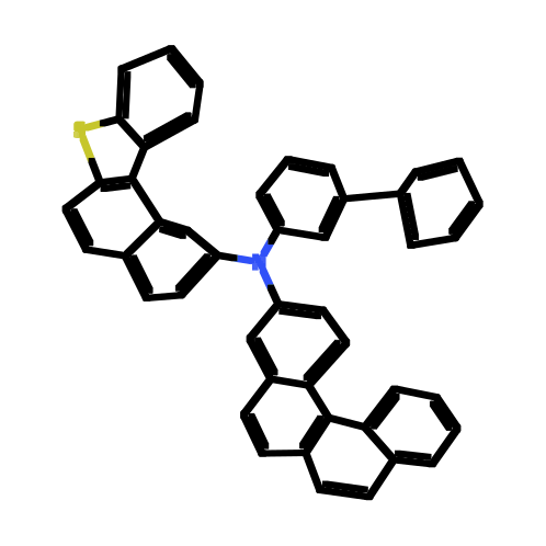 c1ccc(-c2cccc(N(c3ccc4c(ccc5ccc6ccccc6c54)c3)c3ccc4ccc5sc6ccccc6c5c4c3)c2)cc1